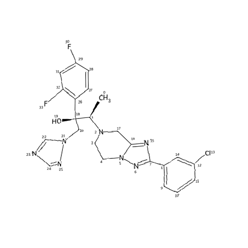 C[C@@H](N1CCn2nc(-c3cccc(Cl)c3)nc2C1)[C@](O)(Cn1cncn1)c1ccc(F)cc1F